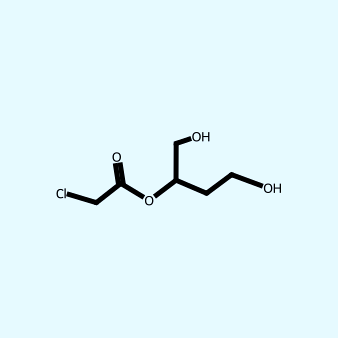 O=C(CCl)OC(CO)CCO